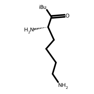 CCC(C)C(=O)[C@@H](N)CCCCN